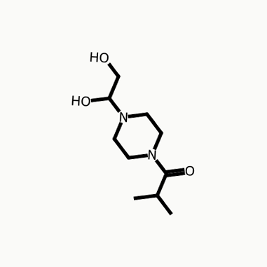 CC(C)C(=O)N1CCN(C(O)CO)CC1